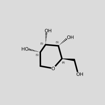 OC[C@H]1OC[C@H](O)[C@H](O)[C@@H]1O